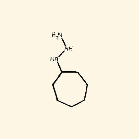 NNBC1CCCCCC1